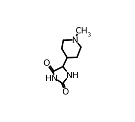 CN1CCC(C2NC(=O)NC2=O)CC1